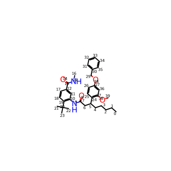 CCCCCC(CC(=O)Nc1cc(C(=O)NC)ccc1C(C)(C)C)c1ccc(OCc2ccccc2)cc1OC